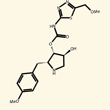 COCc1nnc(NC(=O)O[C@@H]2[C@@H](O)CN[C@@H]2Cc2ccc(OC)cc2)s1